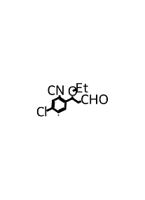 CCOC(CC=O)c1c[c]c(Cl)cc1C#N